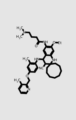 CCOc1cc2c(cc1NC(=O)CCCN(C)C)C(Nc1ccc(OCc3ncccc3C)cc1C)C(C#N)C1(CCCCCCCC1)N2